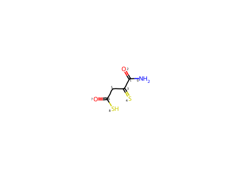 NC(=O)C(=S)CC(=O)S